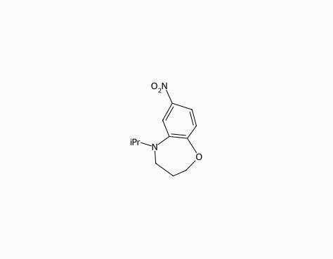 CC(C)N1CCCOc2ccc([N+](=O)[O-])cc21